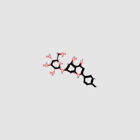 Cc1ccc(-c2cc(=O)c3c(O)cc(O[C@@H]4O[C@H](CO)[C@@H](O)[C@H](O)[C@H]4O)cc3o2)cc1